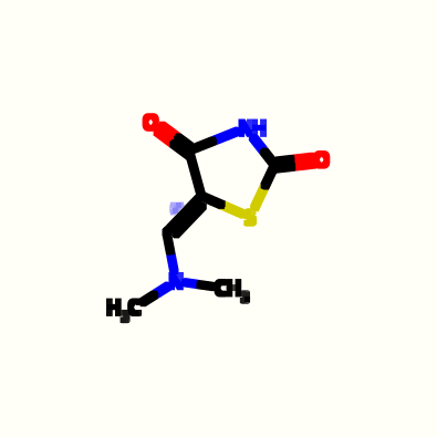 CN(C)/C=C1\SC(=O)NC1=O